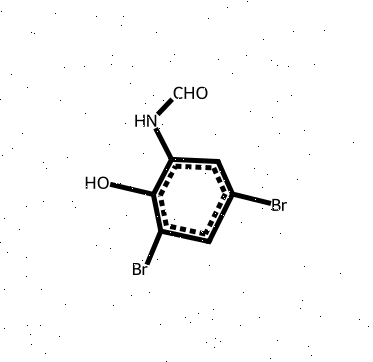 O=CNc1cc(Br)cc(Br)c1O